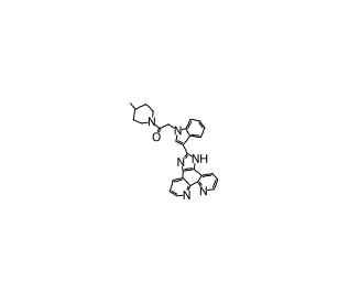 CC1CCN(C(=O)Cn2cc(-c3nc4c5cccnc5c5ncccc5c4[nH]3)c3ccccc32)CC1